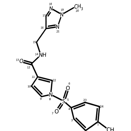 Cc1ccc(S(=O)(=O)n2ccc(C(=O)NCc3cnn(C)n3)c2)cc1